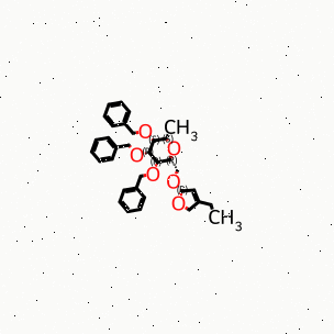 CCC1=C[C@@H](OC[C@H]2O[C@@H](C)[C@H](OCc3ccccc3)[C@@H](OCc3ccccc3)[C@@H]2OCc2ccccc2)OC1